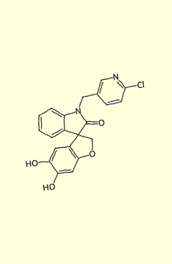 O=C1N(Cc2ccc(Cl)nc2)c2ccccc2C12COc1cc(O)c(O)cc12